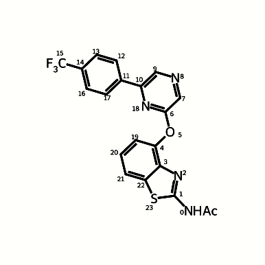 CC(=O)Nc1nc2c(Oc3cncc(-c4ccc(C(F)(F)F)cc4)n3)cccc2s1